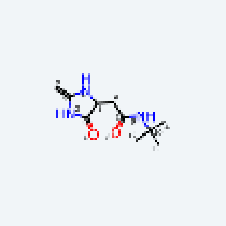 C=C1NC(=O)C(CC(=O)NC(C)(C)C)N1